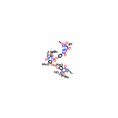 C=CCOC(=O)N[C@@H](C(=O)N[C@H](C)C(=O)Nc1ccc(COC(=O)N2C[C@H]3C(O[Si](C)(C)C(C)(C)C)C(/C=C/C)=CN3C(=O)c3cc(OC)c(OCCCOc4cc5c(cc4OC)C(=O)N4C=C(/C=C/C)CC4C(O[Si](C)(C)C(C)(C)C)N5C(=O)O)cc32)cc1)C(C)C